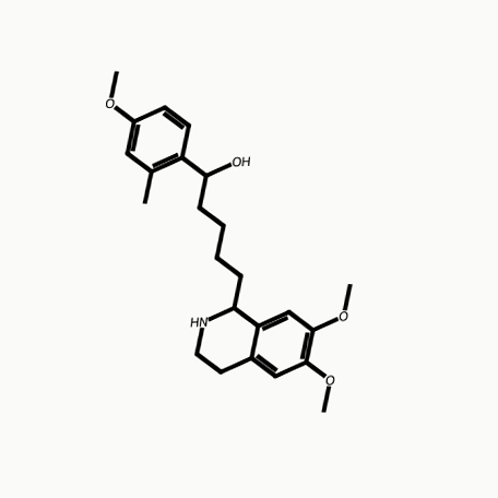 COc1ccc(C(O)CCCCC2NCCc3cc(OC)c(OC)cc32)c(C)c1